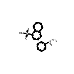 N.Nc1ccccc1.O=S(=O)(O)c1cccc2ccccc12